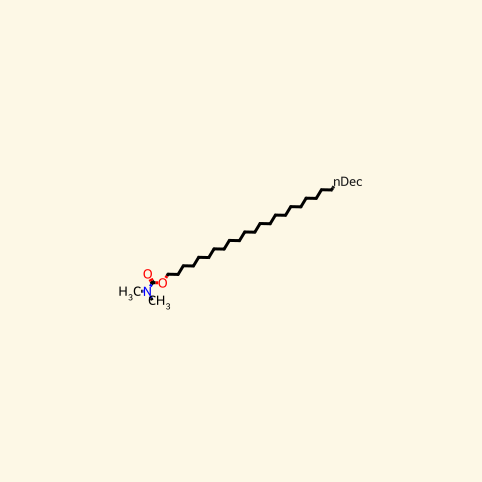 CCCCCCCCCCCCCCCCCCCCCCCCCCCCCCCCOC(=O)N(C)C